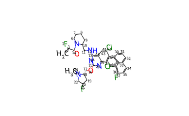 C=C(F)C(=O)N1CCCC[C@H]1CNc1nc(OC[C@@H]2C[C@@H](F)CN2C)nc2cc(-c3cccc4ccc(F)c(Cl)c34)c(Cl)cc12